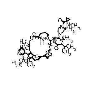 CCn1c(-c2cccnc2[C@H](C)OC)c2c3cc(ccc31)-c1csc(n1)C[C@H](NC(=O)C(C(C)C)N(C)C(=O)N1CCN(C(=O)C3(N(C)C)CC3)CC1)C(=O)N1CCC[C@H](N1)C(=O)OCC(C)(C)C2